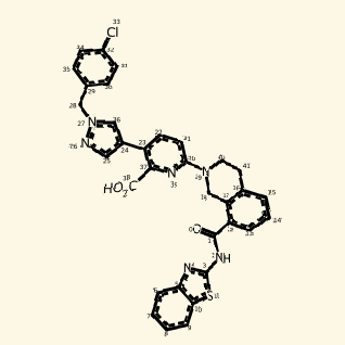 O=C(Nc1nc2ccccc2s1)c1cccc2c1CN(c1ccc(-c3cnn(Cc4ccc(Cl)cc4)c3)c(C(=O)O)n1)CC2